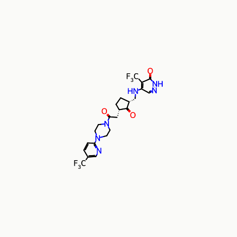 O=C1[C@@H](CNc2cn[nH]c(=O)c2C(F)(F)F)CC[C@H]1CC(=O)N1CCN(c2ccc(C(F)(F)F)cn2)CC1